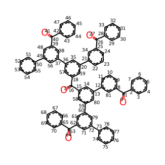 O=C(c1ccccc1)c1cccc(-c2cc(C(=O)c3cc(-c4cccc(C(=O)c5ccccc5)c4)cc(-c4cc(C(=O)c5ccccc5)cc(-c5ccccc5)c4)c3)cc(-c3cc(C(=O)c4ccccc4)cc(-c4ccccc4)c3)c2)c1